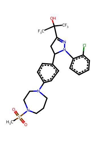 CS(=O)(=O)N1CCCN(c2ccc(C3CC(C(O)(C(F)(F)F)C(F)(F)F)=NN3c3ccccc3Cl)cc2)CC1